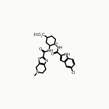 CCOC(=O)C1CC[C@@H](NC(=O)c2cc3cc(Cl)ccc3[nH]2)C(NC(=O)c2nc3c(s2)CN(C)CC3)C1